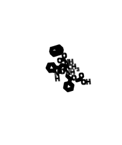 CC(Cc1c[nH]c2ccccc12)(NC(=O)OC1C2CC3CC(C2)CC1C3)C(=O)NCC(OCC(=O)O)c1ccccc1